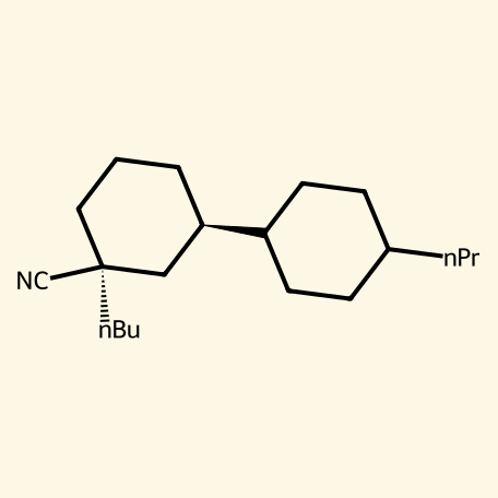 CCCC[C@]1(C#N)CCC[C@@H](C2CCC(CCC)CC2)C1